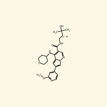 COc1cc(-c2cc3c(NC4CCOCC4)c(C(=O)NC[C@@H](F)C(C)(C)O)cnn3c2)ccn1